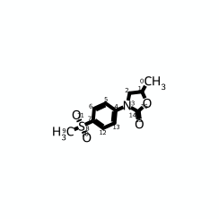 CC1CN(c2ccc(S(C)(=O)=O)cc2)C(=O)O1